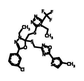 CCN1N=C(c2cccc(Cl)c2)OC1(CSc1nnc(C(F)(F)F)n1CC)SCc1noc(-c2cc(C)cs2)n1